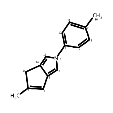 CC1=Cc2cn(-c3ccc(C)cc3)cc2C1